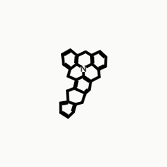 c1ccc2c(c1)Cc1cc3c4c(c1C2)Cc1cccc2c1N4c1c(cccc1C3)C2